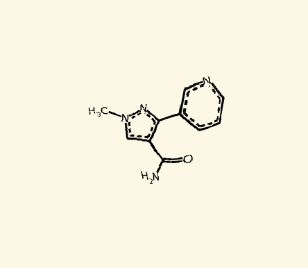 Cn1cc(C(N)=O)c(-c2cccnc2)n1